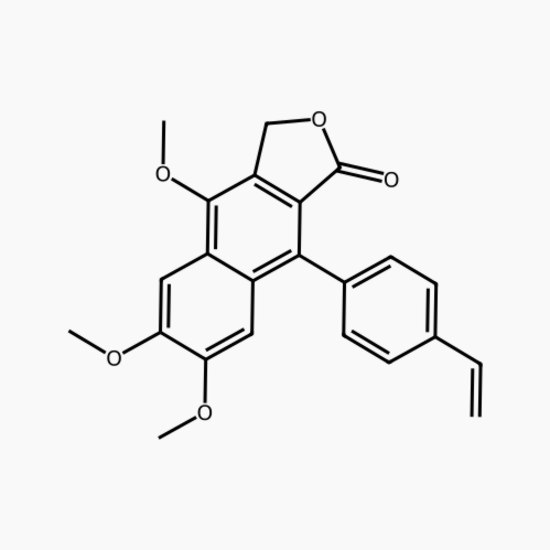 C=Cc1ccc(-c2c3c(c(OC)c4cc(OC)c(OC)cc24)COC3=O)cc1